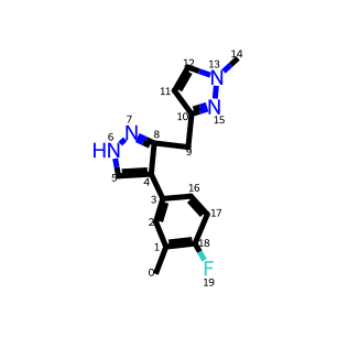 Cc1cc(-c2c[nH]nc2Cc2ccn(C)n2)ccc1F